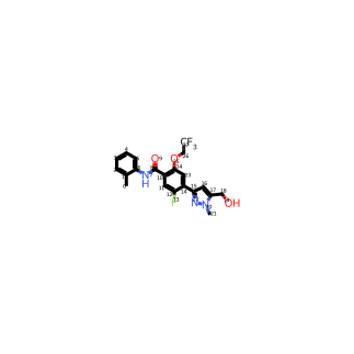 Cc1ccccc1NC(=O)c1cc(F)c(-c2cc(CO)n(C)n2)cc1OCC(F)(F)F